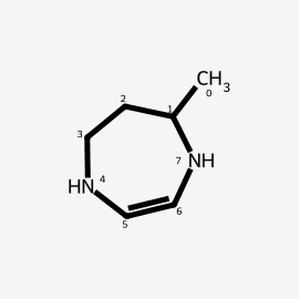 CC1CCNC=CN1